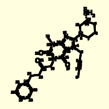 CC#CCn1c(N2CCC[C@@H](N)C2)nc2c1c(=O)n(CC(=O)CCc1ccccc1)c(=O)n2C